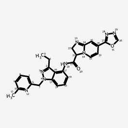 CCc1nn(Cc2cccc(C)n2)c2cccc(NC(=O)C3CN=C4C=C(c5nnco5)C=CN43)c12